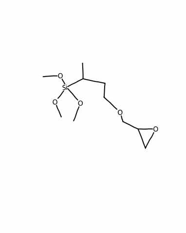 CO[Si](OC)(OC)C(C)CCOCC1CO1